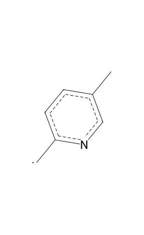 [CH2]c1ccc(C)cn1